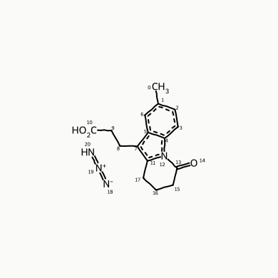 Cc1ccc2c(c1)c(CCC(=O)O)c1n2C(=O)CCC1.[N-]=[N+]=N